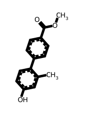 COC(=O)c1ccc(-c2ccc(O)cc2C)cc1